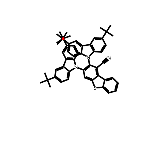 CC(C)(C)c1ccc2c(c1)c1cc(C(C)(C)C)ccc1n2-c1cc2sc3ccccc3c2c(C#N)c1-n1c2ccc(C(C)(C)C)cc2c2cc(C(C)(C)C)ccc21